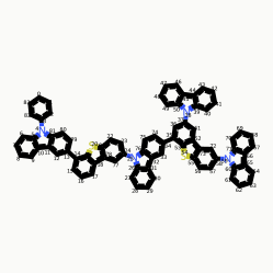 c1ccc(-n2c3ccccc3c3cc(-c4cccc5c4sc4ccc(-n6c7ccccc7c7cc(-c8cc(-n9c%10ccccc%10c%10ccccc%109)cc9c8sc8ccc(-n%10c%11ccccc%11c%11ccccc%11%10)cc89)ccc76)cc45)ccc32)cc1